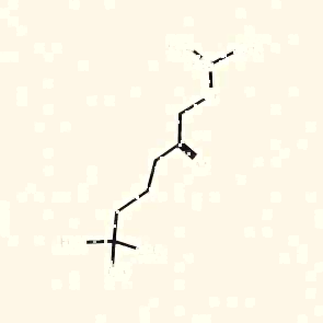 C[SiH](C)OCC(=O)CCCC(C)(C)C